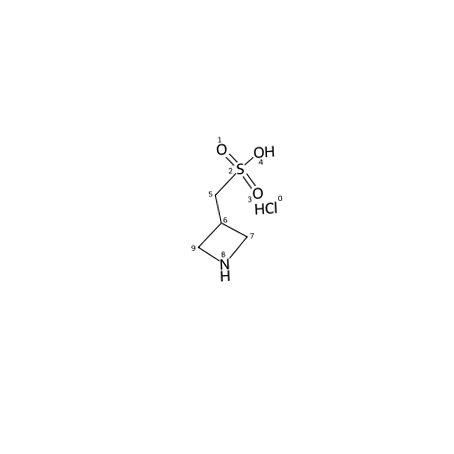 Cl.O=S(=O)(O)CC1CNC1